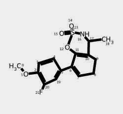 COc1ccc(C2=CCCC3=C2OS(=O)(=O)NC3C)cc1F